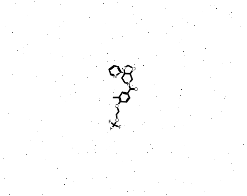 Cc1cc(C(=O)N2CC[C@]3(c4ccccn4)OCOC3C2)ccc1OCCOC(F)(F)F